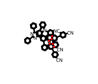 N#Cc1ccc(-c2ccc3c(c2)c2cc(-c4ccc(C#N)cc4C#N)ccc2n3-c2c(-c3ccccc3-n3c4ccccc4c4ccccc43)cc(-c3nc(-c4ccccc4)nc(-c4ccccc4)n3)cc2-c2ccccc2-n2c3ccccc3c3ccccc32)c(C#N)c1